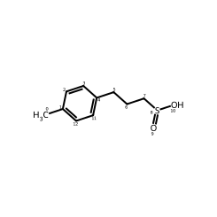 Cc1ccc(CCCS(=O)O)cc1